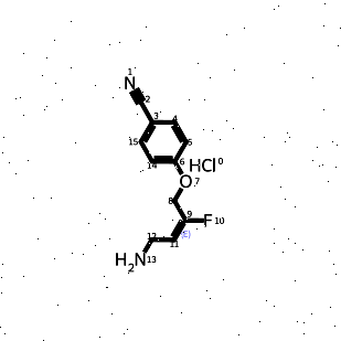 Cl.N#Cc1ccc(OC/C(F)=C\CN)cc1